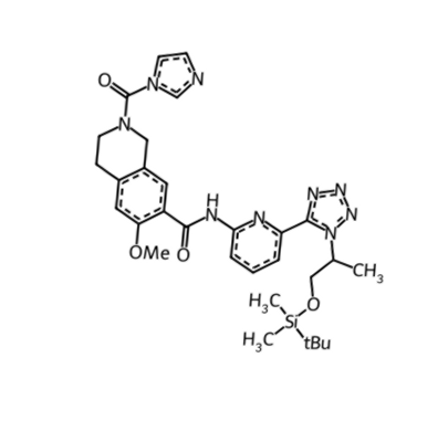 COc1cc2c(cc1C(=O)Nc1cccc(-c3nnnn3C(C)CO[Si](C)(C)C(C)(C)C)n1)CN(C(=O)n1ccnc1)CC2